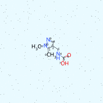 Cc1c(CNC(=O)O)cnn1C